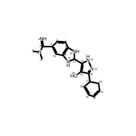 CN(C)C(=N)c1ccc2c(c1)NC(c1[nH]nc(C3C=CC=CC3)c1O)N2